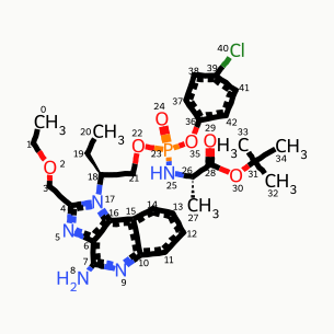 CCOCc1nc2c(N)nc3ccccc3c2n1[C@@H](CC)COP(=O)(N[C@@H](C)C(=O)OC(C)(C)C)Oc1ccc(Cl)cc1